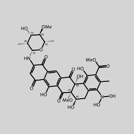 COC(=O)c1c(C)c(N(O)O)c2c(c1O)[C@]1(O)C(=O)c3cc4c(c(O)c3C(=O)[C@]1(OC)[C@H](O)C2)C(=O)C=C(N[C@H]1O[C@@H](C)[C@H](OC)[C@@H](O)[C@H]1C)C4=O